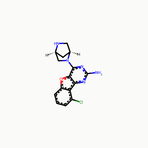 Nc1nc(N2C[C@@H]3C[C@H]2CN3)c2oc3cccc(Cl)c3c2n1